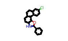 Clc1ccc2c(ccc3ccc4c(c32)OC(c2ccccc2)N4)c1